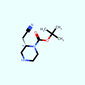 CC(C)(C)OC(=O)N1CCNC[C@@H]1CC#N